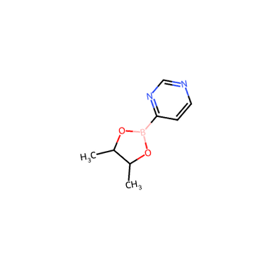 CC1OB(c2ccncn2)OC1C